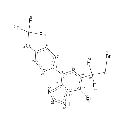 FC(F)(F)Oc1ccc(-c2cc(C(F)(F)CBr)c(Br)c3[nH]cnc23)cc1